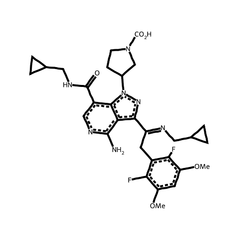 COc1cc(OC)c(F)c(C/C(=N\CC2CC2)c2nn(C3CCN(C(=O)O)C3)c3c(C(=O)NCC4CC4)cnc(N)c23)c1F